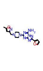 Cc1cc(CN2CCN(c3nc(N)n4nc(-c5ccco5)nc4n3)CC2)no1